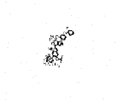 Cc1cc(Oc2ccccc2F)ccc1-n1ncc(C(=O)c2cc3cc(OC(F)F)c(N4CC(C)(C)NS4(=O)=O)cc3[nH]2)c1N